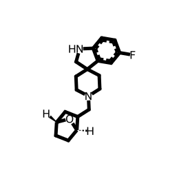 Fc1ccc2c(c1)C1(CCN(CC3C[C@H]4CC[C@H]3O4)CC1)CN2